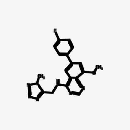 COc1cc(-c2ccc(F)cc2)cc2c(NCc3nnnn3C)ncnc12